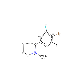 Cc1cc(C2CCCCN2C(=O)O)cc(F)c1Br